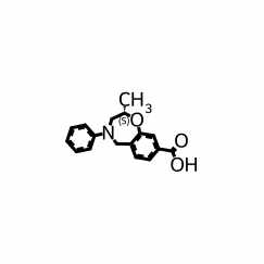 C[C@H]1CN(c2ccccc2)Cc2ccc(C(=O)O)cc2O1